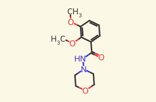 COc1cccc(C(=O)NN2CCOCC2)c1OC